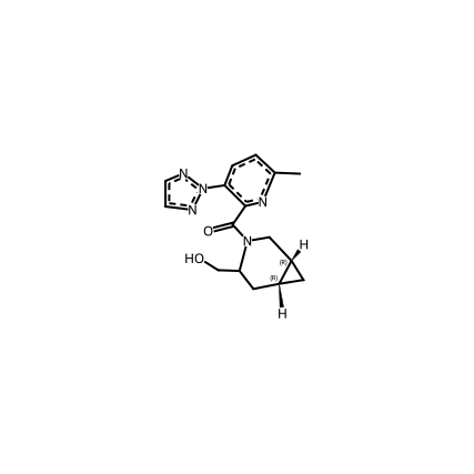 Cc1ccc(-n2nccn2)c(C(=O)N2C[C@@H]3C[C@@H]3CC2CO)n1